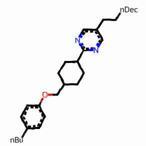 CCCCCCCCCCCCc1cnc(C2CCC(COc3ccc(CCCC)cc3)CC2)nc1